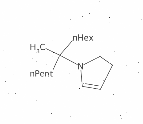 CCCCCCC(C)(CCCCC)N1C=CCC1